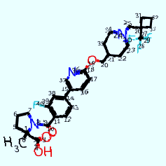 CC1(C(=O)O)CCCN1C(=O)c1ccc(-c2ccc(OCC3CCN(CC4(C(F)(F)F)CCC4)CC3)nc2)cc1F